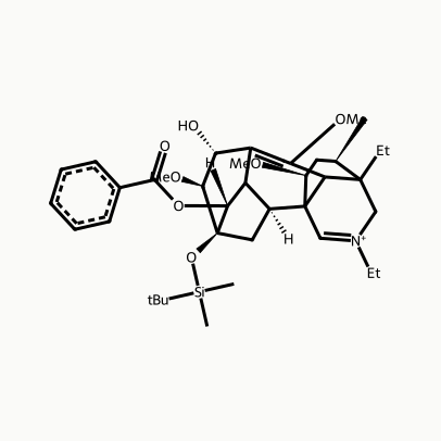 CC[N+]1=CC23C(C(OC)C=C4C5[C@@H](OC(=O)c6ccccc6)[C@](O[Si](C)(C)C(C)(C)C)(C[C@@H]52)[C@@H](OC)[C@@H]4O)C(CC)(C1)[C@H](C)C[C@@H]3OC